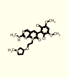 CNc1ncc2cc(-c3c(Cl)c(OC)cc(OC)c3Cl)c(=O)n(CCO[C@H]3CCN(C)C3)c2n1